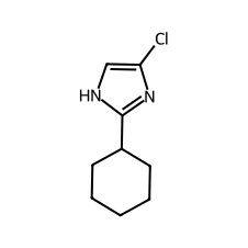 Clc1c[nH]c(C2CCCCC2)n1